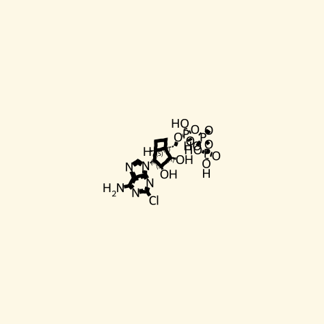 Nc1nc(Cl)nc2c1ncn2[C@H]1[C@H](O)[C@H](O)[C@]2(COP(=O)(O)OP(=O)(O)OP(=O)(O)O)CC[C@H]12